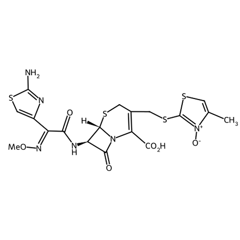 CON=C(C(=O)N[C@@H]1C(=O)N2C(C(=O)O)=C(CSc3scc(C)[n+]3[O-])CS[C@@H]12)c1csc(N)n1